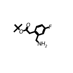 CC(C)(C)OC(=O)Cc1ccc(F)cc1CN